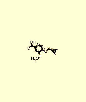 COc1cc(C(=O)O)ncc1OCC1CC1